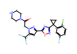 O=C(Cn1nc(-c2nc(C3(c4cc(F)ccc4Cl)CC3)no2)cc1C(F)F)N1CCNCC1